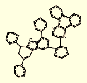 C1=C(c2ccccc2)CC(c2ccccc2)c2oc3c(-c4ccccc4)cc(-c4ccccc4-c4cnc5c6ccccc6c6ccccc6c5n4)cc3c21